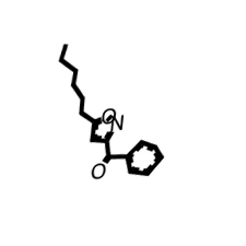 CCCCCCc1cc(C(=O)c2ccccc2)no1